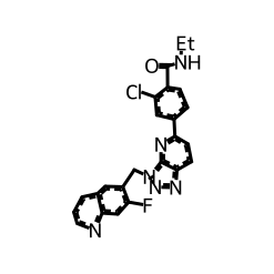 CCNC(=O)c1ccc(-c2ccc3nnn(Cc4cc5cccnc5cc4F)c3n2)cc1Cl